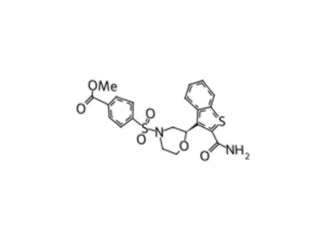 COC(=O)c1ccc(S(=O)(=O)N2CCO[C@H](c3c(C(N)=O)sc4ccccc34)C2)cc1